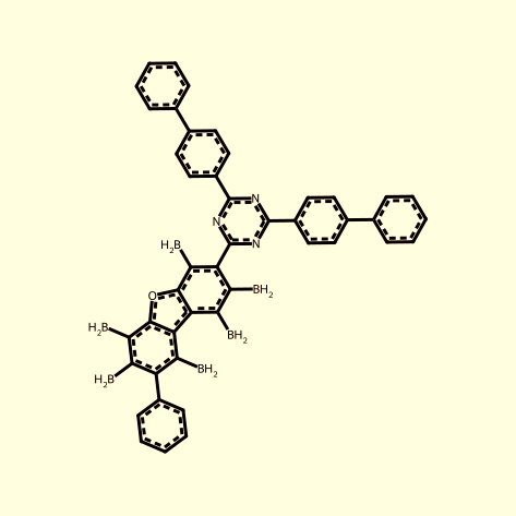 Bc1c(-c2ccccc2)c(B)c2c(oc3c(B)c(-c4nc(-c5ccc(-c6ccccc6)cc5)nc(-c5ccc(-c6ccccc6)cc5)n4)c(B)c(B)c32)c1B